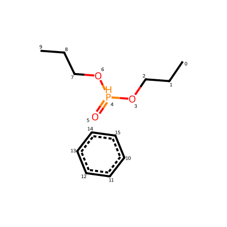 CCCO[PH](=O)OCCC.c1ccccc1